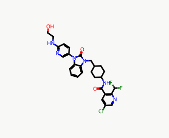 O=C(NC1CCC(Cn2c(=O)n(-c3ccc(NCCO)nc3)c3ccccc32)CC1)c1cc(Cl)cnc1C(F)F